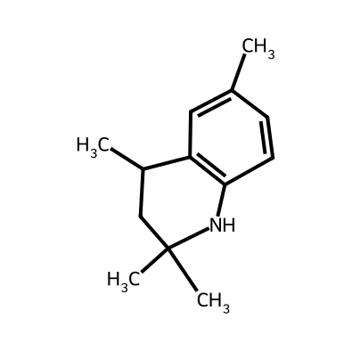 Cc1ccc2c(c1)C(C)CC(C)(C)N2